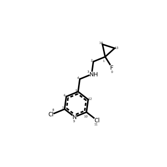 FC1(CNCc2cc(Cl)nc(Cl)c2)CC1